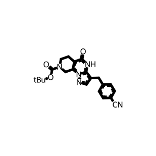 CC(C)(C)OC(=O)N1CCc2c(n3ncc(Cc4ccc(C#N)cc4)c3[nH]c2=O)C1